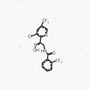 O=C(NC/C(=N\O)c1ncc(C(F)(F)F)cc1Cl)c1ccccc1C(F)(F)F